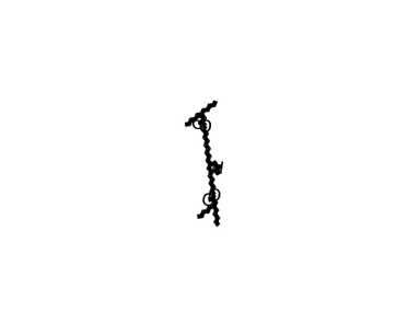 CCCCCC(CCCCC)CC(=O)OCCCCCCCCCC(CCCCCCCOC(=O)CC(CCCCC)CCCCC)CN(C)CC